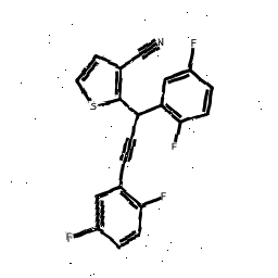 N#Cc1ccsc1C(C#Cc1cc(F)ccc1F)c1cc(F)ccc1F